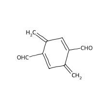 C=c1cc(C=O)c(=C)cc1C=O